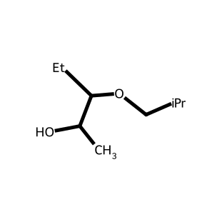 CCC(OCC(C)C)C(C)O